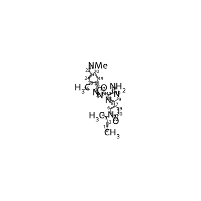 CC#CC(C)n1cc(-c2cnc(N)c(-c3nnc(-c4ccc(CNC)cc4C)o3)n2)ccc1=O